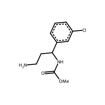 COC(=O)NC(CCN)c1cccc(Cl)c1